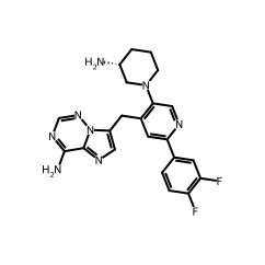 Nc1ncnn2c(Cc3cc(-c4ccc(F)c(F)c4)ncc3N3CCC[C@@H](N)C3)cnc12